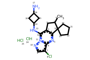 CC1Cc2c(nc3c(Cl)cnn3c2NC2CC(N)C2)C12CCCC2.Cl.Cl